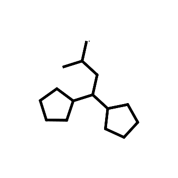 [CH2]C(C)CC(C1CCCC1)C1CCCC1